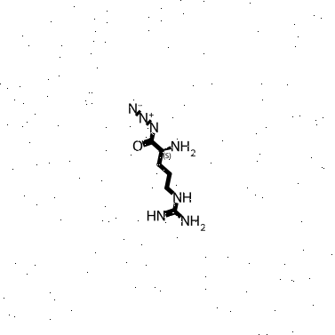 [N-]=[N+]=NC(=O)[C@@H](N)CCCNC(=N)N